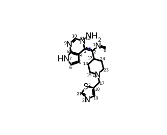 C=N/C(=C1/c2cc[nH]c2N=CN1N)C1CCN(Cc2cncs2)CC1